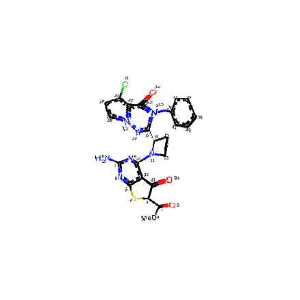 COC(=O)C1Sc2nc(N)nc(N3CC[C@H]3c3nn4ccc(Cl)c4c(=O)n3-c3ccccc3)c2C1=O